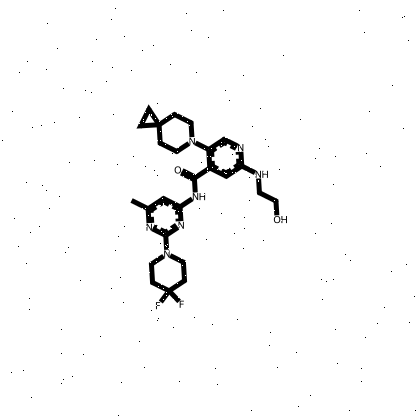 Cc1cc(NC(=O)c2cc(NCCO)ncc2N2CCC3(CC2)CC3)nc(N2CCC(F)(F)CC2)n1